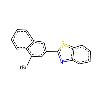 CC(C)(C)c1cc(-c2nc3ccccc3s2)cc2ccccc12